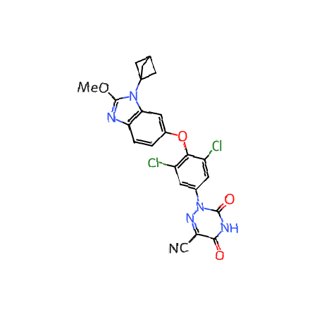 COc1nc2ccc(Oc3c(Cl)cc(-n4nc(C#N)c(=O)[nH]c4=O)cc3Cl)cc2n1C12CC(C1)C2